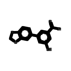 CCC(=O)c1cc(O)cc(-c2ccc3c(c2)OCO3)c1